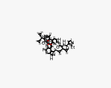 CCn1nccc1C(=O)N[C@H](C(=O)Nc1ccc(-c2c(C)n[nH]c2C)c(C(F)F)n1)C(C1CC1)C1CC1Cc1n[nH]c(C)c1-c1ccc(NC(=O)[C@@H](N)C(C2CC2)C2CC2)nc1C(F)F